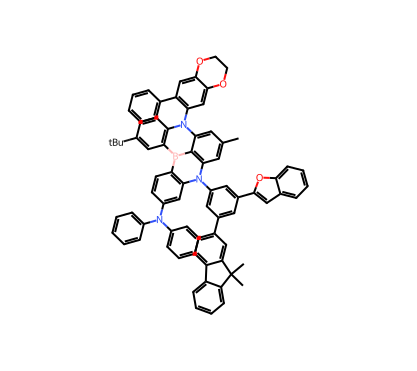 Cc1cc2c3c(c1)N(c1cc4c(cc1-c1ccccc1)OCCO4)c1ccc(C(C)(C)C)cc1B3c1ccc(N(c3ccccc3)c3ccccc3)cc1N2c1cc(-c2ccc3c(c2)C(C)(C)c2ccccc2-3)cc(-c2cc3ccccc3o2)c1